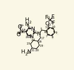 Nc1nc(N(Cc2ccccc2OC(F)(F)F)CC2CCC(N)CC2)ncc1[N+](=O)[O-]